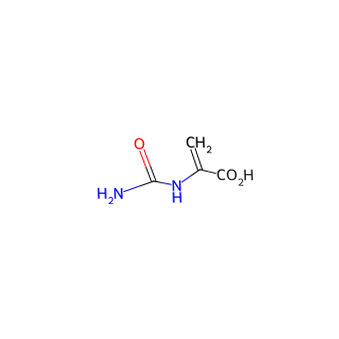 C=C(NC(N)=O)C(=O)O